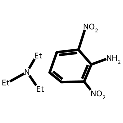 CCN(CC)CC.Nc1c([N+](=O)[O-])cccc1[N+](=O)[O-]